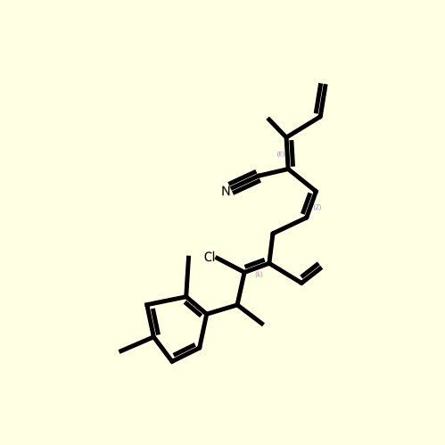 C=C/C(C)=C(C#N)\C=C/C/C(C=C)=C(\Cl)C(C)c1ccc(C)cc1C